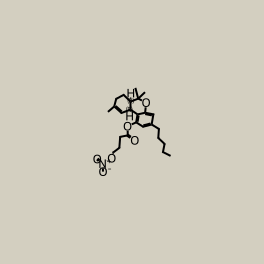 CCCCCc1cc(OC(=O)CCCO[N+](=O)[O-])c2c(c1)OC(C)(C)[C@@H]1CCC(C)=C[C@@H]21